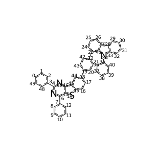 c1ccc(-c2nc(-c3ccccc3)c3sc4ccc(-c5ccc(-c6cccc7c8ccccc8n(-c8ccccc8)c67)cc5)cc4c3n2)cc1